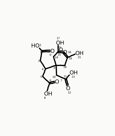 O=C(O)CC(CC(=O)O)C(CC(=O)O)(CC(=O)O)CC(=O)O